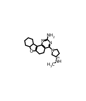 CN[C@@H]1CCN(c2nc(N)nc3c2CCC2=C3C3CCCCC3O2)C1